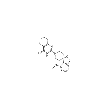 COc1cccc2c1C1(CCN(c3nc4c(c(=O)[nH]3)CCCC4)CC1)OC2